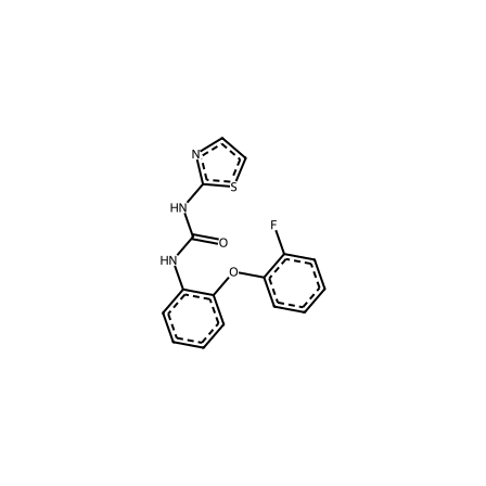 O=C(Nc1nccs1)Nc1ccccc1Oc1ccccc1F